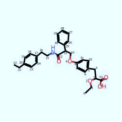 CCOC(Cc1ccc(OCC(C(=O)NCCc2ccc(CC)cc2)c2ccccc2)cc1)C(=O)O